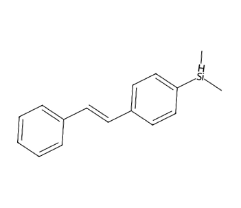 C[SiH](C)c1ccc(C=Cc2ccccc2)cc1